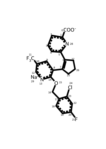 O=C([O-])c1cccc(C2=C(c3cc(C(F)(F)F)cnc3OCc3ccc(F)cc3Cl)CCC2)n1.[Na+]